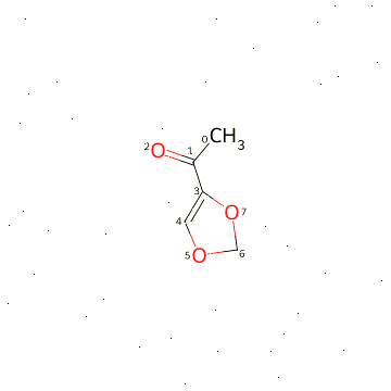 CC(=O)C1=COCO1